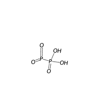 O=P(=O)P(=O)(O)O